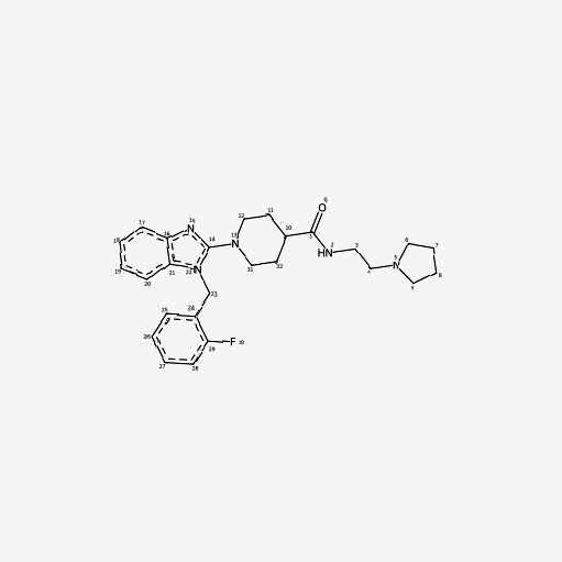 O=C(NCCN1CCCC1)C1CCN(c2nc3ccccc3n2Cc2ccccc2F)CC1